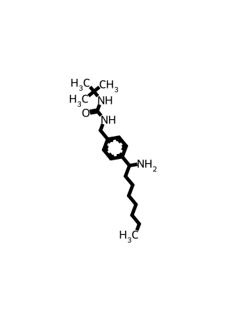 CCCCCCCC(N)c1ccc(CNC(=O)NC(C)(C)C)cc1